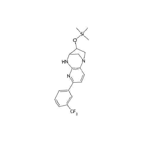 C[Si](C)(C)OC1CN2CC1Nc1nc(-c3cccc(C(F)(F)F)c3)ccc12